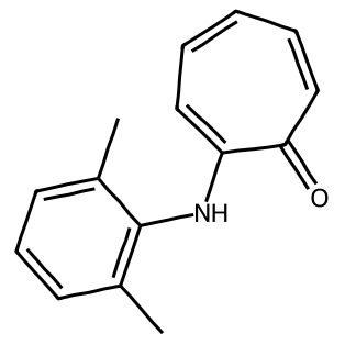 Cc1cccc(C)c1Nc1cccccc1=O